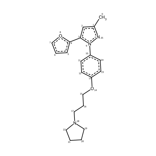 Cc1cc(-c2ccco2)n(-c2ccc(OCCCN3CCCC3)cc2)n1